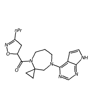 CCCC1=NOC(C(=O)N2CCCN(c3ncnc4[nH]ccc34)CC23CC3)C1